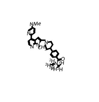 [2H]C([2H])([2H])N(C(=O)c1ccc(C2CCN(Cc3cc4c(-c5ccc(NC)cn5)ccnc4n3C)CC2)cc1)C([2H])([2H])[2H]